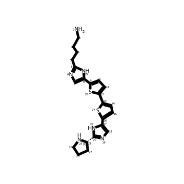 NCCCCc1ncc(-c2ccc(-c3ccc(-c4cnc([C@@H]5CCCN5)[nH]4)s3)s2)[nH]1